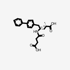 C[C@@H](C[C@@H](Cc1ccc(-c2ccccc2)cc1)NC(=O)CCC(=O)O)C(=O)O